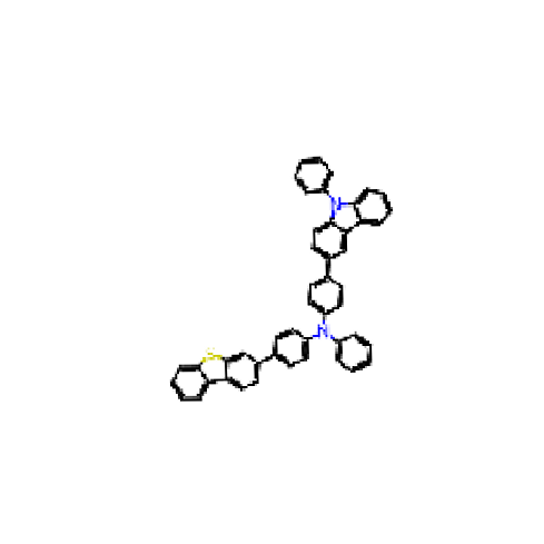 c1ccc(N(c2ccc(-c3ccc4c(c3)sc3ccccc34)cc2)c2ccc(-c3ccc4c(c3)c3ccccc3n4-c3ccccc3)cc2)cc1